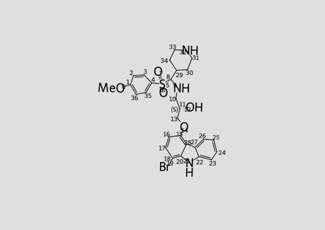 COc1ccc(S(=O)(=O)C(NC[C@H](O)COc2ccc(Br)c3[nH]c4ccccc4c23)C2CCNCC2)cc1